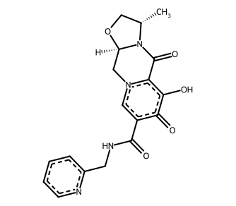 C[C@H]1CO[C@@H]2Cn3cc(C(=O)NCc4ccccn4)c(=O)c(O)c3C(=O)N12